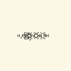 C[Si](C)(C)c1ccc(-c2ccc(N3CCNCC3)cc2)cc1